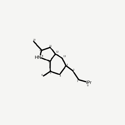 CC(C)CCC1CC(C)C2NC(C)CC2C1